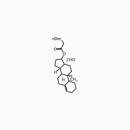 CCCCCCCCCCCC(=O)OC1CC[C@H]2[C@@H]3CCC4=CCCC[C@]4(C)[C@H]3CC[C@]12C=O